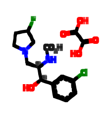 O=C(O)C(=O)O.O=C(O)N[C@H](CN1CCC(F)C1)[C@H](O)c1cccc(Cl)c1